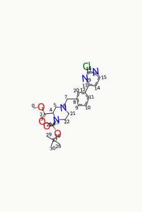 COC(=O)C1CN(Cc2cccc(-c3ccnc(Cl)n3)c2)CCN1C(=O)OC(C)(C)C